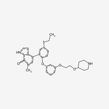 CCSc1ccc(Oc2cccc(OCCOC3CCNCC3)c2)c(-c2cn(C)c(=O)c3[nH]ccc23)c1